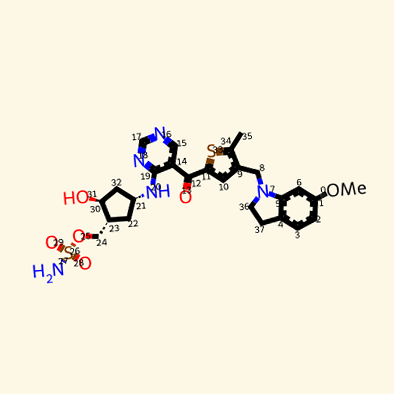 COc1ccc2c(c1)N(Cc1cc(C(=O)c3cncnc3N[C@@H]3C[C@H](COS(N)(=O)=O)[C@@H](O)C3)sc1C)CC2